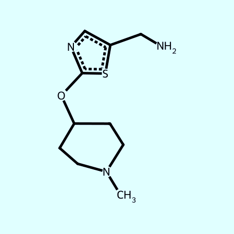 CN1CCC(Oc2ncc(CN)s2)CC1